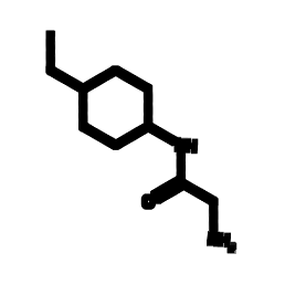 CCC1CCC(NC(=O)CN)CC1